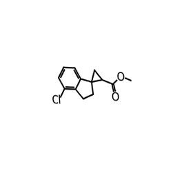 COC(=O)C1CC12CCc1c(Cl)cccc12